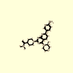 C=C(C1CCN(c2nc(N3CCOC[C@@H]3C)c3ccc(-c4ccc(N)nc4)nc3n2)CC1)N(C)C